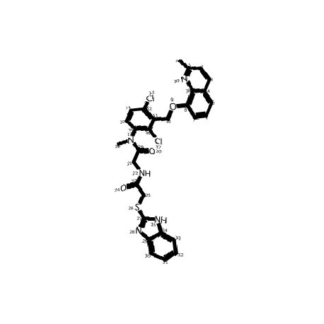 Cc1ccc2cccc(OCc3c(Cl)ccc(N(C)C(=O)CNC(=O)CSc4nc5ccccc5[nH]4)c3Cl)c2n1